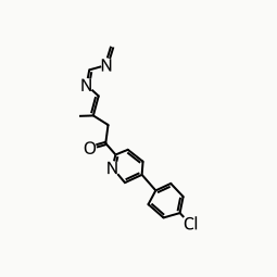 C=N/C=N\C=C(/C)CC(=O)c1ccc(-c2ccc(Cl)cc2)cn1